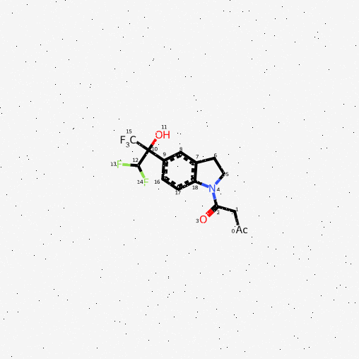 CC(=O)CC(=O)N1CCc2cc(C(O)(C(F)F)C(F)(F)F)ccc21